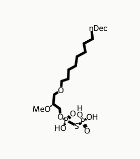 CCCCCCCCCCCCCCCCCCOC[C@H](COP(=O)(O)SP(=O)(O)O)OC